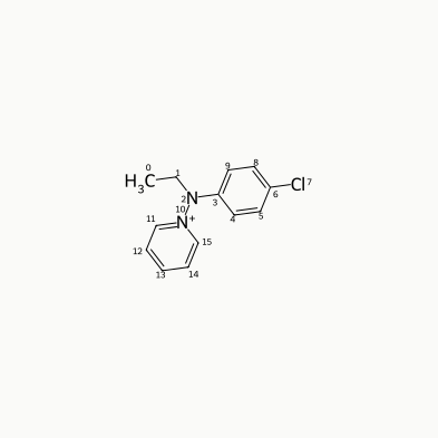 CCN(c1ccc(Cl)cc1)[n+]1ccccc1